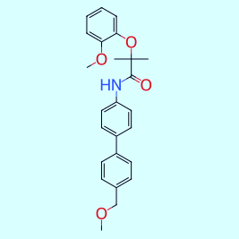 COCc1ccc(-c2ccc(NC(=O)C(C)(C)Oc3ccccc3OC)cc2)cc1